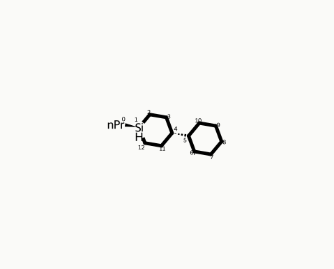 CCC[Si@H]1CC[C@H](C2[CH]CCCC2)CC1